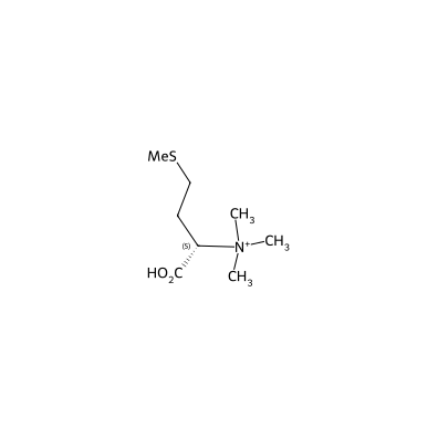 CSCC[C@@H](C(=O)O)[N+](C)(C)C